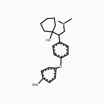 CN(C)CC(c1ccc(Oc2ccc(C=O)cc2)cc1)C1(O)CCCCC1